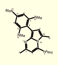 CC[CH]CCc1cc(C)nc2c(-c3c(NC)cc(NC)cc3NC)cc(C)n12